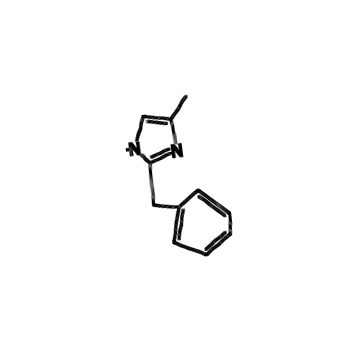 CC1=C[N]C(Cc2ccccc2)=N1